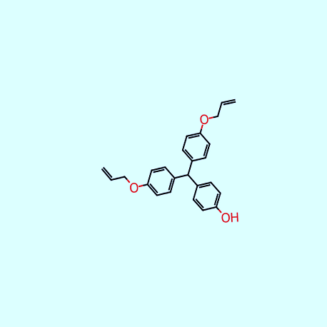 C=CCOc1ccc(C(c2ccc(O)cc2)c2ccc(OCC=C)cc2)cc1